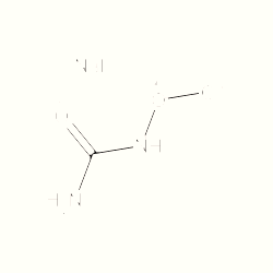 NC(=O)NOCl.[NaH]